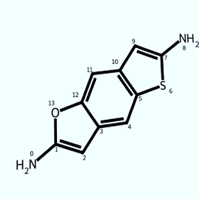 Nc1cc2cc3sc(N)cc3cc2o1